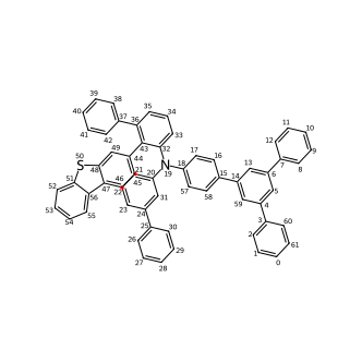 c1ccc(-c2cc(-c3ccccc3)cc(-c3ccc(N(c4cccc(-c5ccccc5)c4)c4cccc(-c5ccccc5)c4-c4ccc5c(c4)sc4ccccc45)cc3)c2)cc1